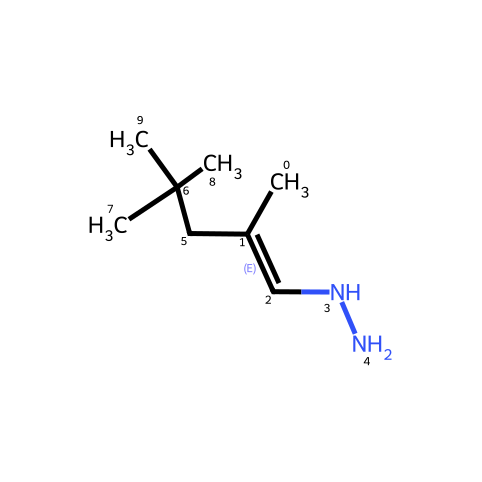 C/C(=C\NN)CC(C)(C)C